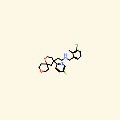 Cc1c(Cl)cccc1CNCCC1(c2ccc(F)cn2)CCOC2(CCOCC2)C1